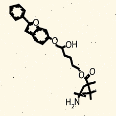 CC(C)(N)CC(C)(C(=O)OCCCCC(O)COc1ccc2cc(-c3ccccc3)oc2c1)C(C)(C)C